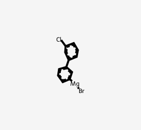 Clc1cccc(-c2ccc[c]([Mg][Br])c2)c1